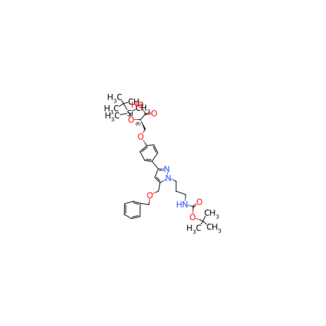 CC(C)(C)OC(=O)NCCCn1nc(-c2ccc(OC[C@@H](O[Si](C)(C)C(C)(C)C)C(=O)O)cc2)cc1COCc1ccccc1